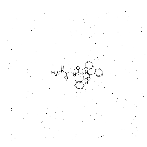 CNC(=O)CN1Cc2ccccc2[C@@H]2OC(c3ccccc3)=N[C@]2(Cc2ccccc2)C1=O